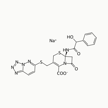 O=C([O-])C1=C(CSc2ccc3nnnn3n2)CS[C@]2(NC(=O)C(O)c3ccccc3)CC(=O)N12.[Na+]